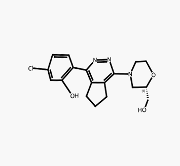 OC[C@@H]1CN(c2nnc(-c3ccc(Cl)cc3O)c3c2CCC3)CCO1